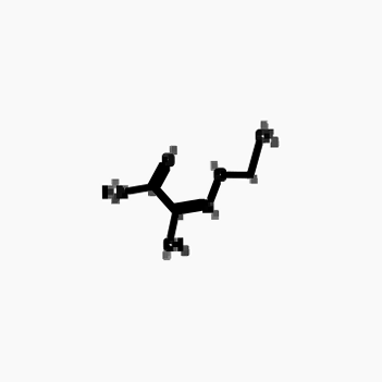 CC(=NOCC(F)(F)F)C(N)=O